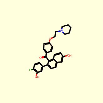 O=C(c1ccc(OCCN2CCCCC2)cc1)c1c(-c2ccc(F)c(O)c2)ccc2cc(O)ccc12